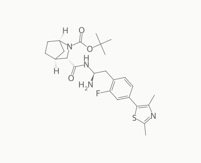 Cc1nc(C)c(-c2ccc(C[C@@H](N)NC(=O)[C@@H]3[C@H]4CC[C@H](C4)N3C(=O)OC(C)(C)C)c(F)c2)s1